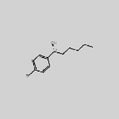 CCCCC[C@@H](O)c1ccc(Cl)nc1